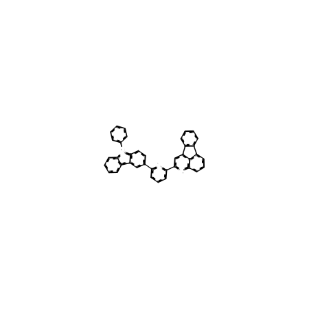 c1ccc(-n2c3ccccc3c3cc(-c4cccc(-c5cc6c7c(cccc7n5)-c5ccccc5-6)n4)ccc32)cc1